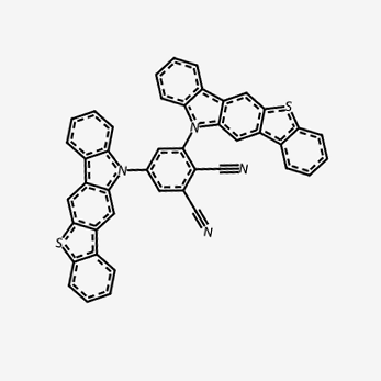 N#Cc1cc(-n2c3ccccc3c3cc4sc5ccccc5c4cc32)cc(-n2c3ccccc3c3cc4sc5ccccc5c4cc32)c1C#N